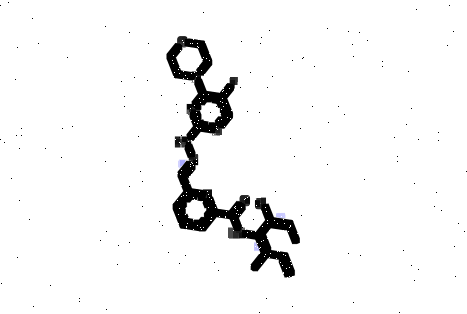 C=C/C(C)=C(NC(=O)c1cccc(/C=N/Nc2ncc(F)c(N3CCOCC3)n2)n1)\C(Cl)=C/C